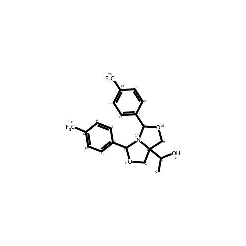 CC(O)C12COC(c3ccc(C(F)(F)F)cc3)N1C(c1ccc(C(F)(F)F)cc1)OC2